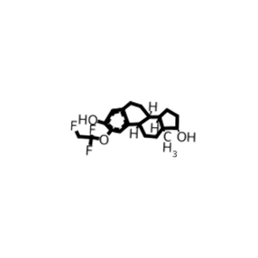 C[C@]12CC[C@@H]3c4cc(OC(F)(F)CF)c(O)cc4CC[C@H]3[C@@H]1CC[C@@H]2O